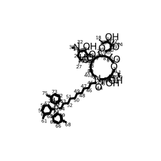 CC[C@H]1OC(=O)[C@H](C)C([C@H]2C[C@@](C)(OC)[C@@H](O)[C@H](C)O2)[C@H](C)[C@@H](O[C@@H]2O[C@H](C)C[C@H](N(C)C)[C@H]2O)[C@](C)(O)C[C@@H](C)CN(C(=O)CCCCCCCCCC[PH](c2cccc(C)c2)(c2cccc(C)c2)c2cccc(C)c2)[C@H](C)[C@@H](O)[C@]1(C)O